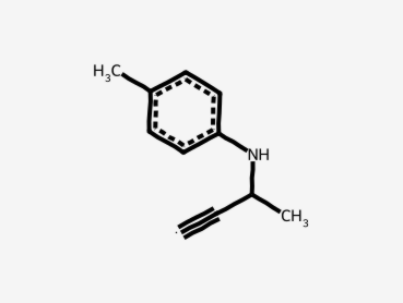 [C]#CC(C)Nc1ccc(C)cc1